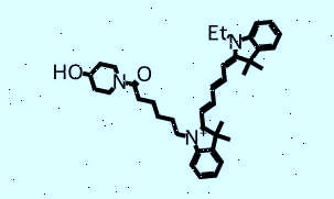 CCN1/C(=C/C=C/C=C/C2=[N+](CCCCCC(=O)N3CCC(O)CC3)c3ccccc3C2(C)C)C(C)(C)c2ccccc21